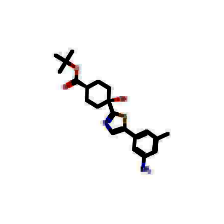 Cc1cc(N)cc(-c2cnc([C@]3(O)CC[C@@H](C(=O)OC(C)(C)C)CC3)s2)c1